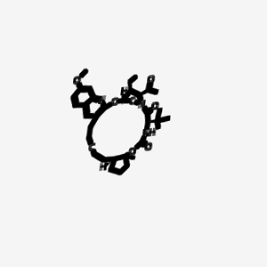 CC[C@@H]1[C@@H]2CN(C(=O)[C@H](C(C)(C)C)NC(=O)O[C@]3(C)CCC[C@H]3CCCCCc3cc4ccc(OC)cc4nc3O2)[C@@H]1C(C)=O